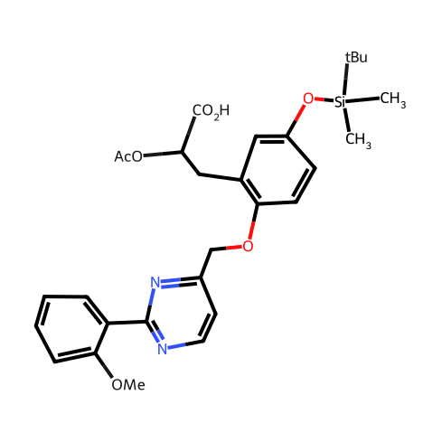 COc1ccccc1-c1nccc(COc2ccc(O[Si](C)(C)C(C)(C)C)cc2CC(OC(C)=O)C(=O)O)n1